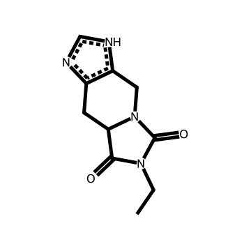 CCN1C(=O)C2Cc3nc[nH]c3CN2C1=O